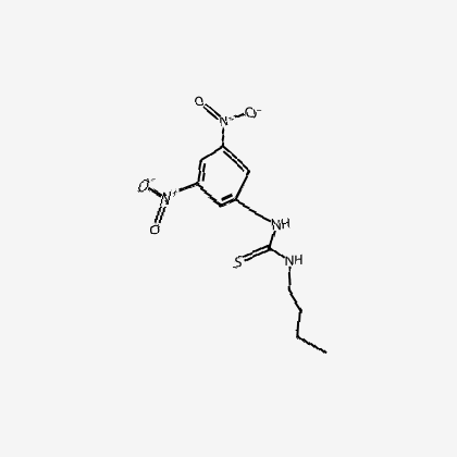 CCCCNC(=S)Nc1cc([N+](=O)[O-])cc([N+](=O)[O-])c1